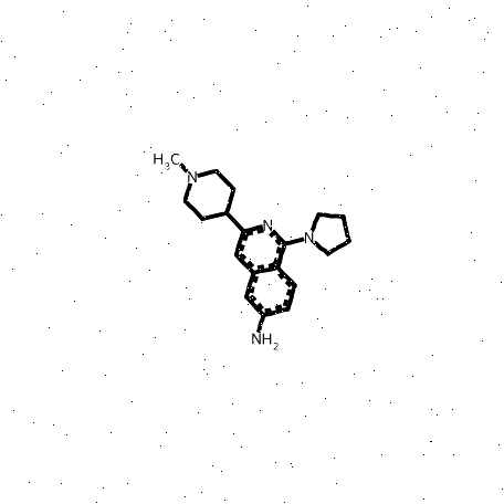 CN1CCC(c2cc3cc(N)ccc3c(N3CCCC3)n2)CC1